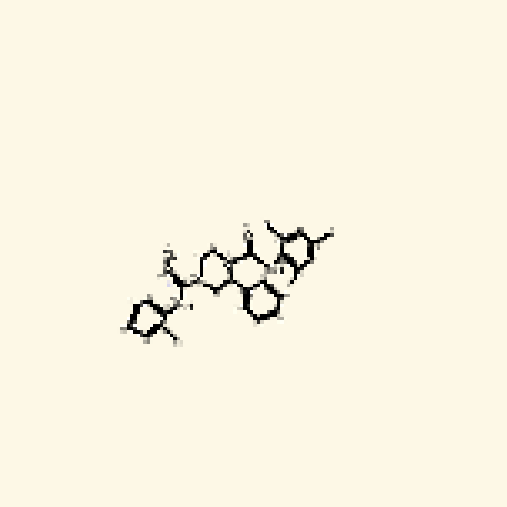 Cc1cc(C)c(NC(=O)N2CCN(/C(=N\C#N)Nc3ccccc3C)CC2c2ccccc2)c(C)c1